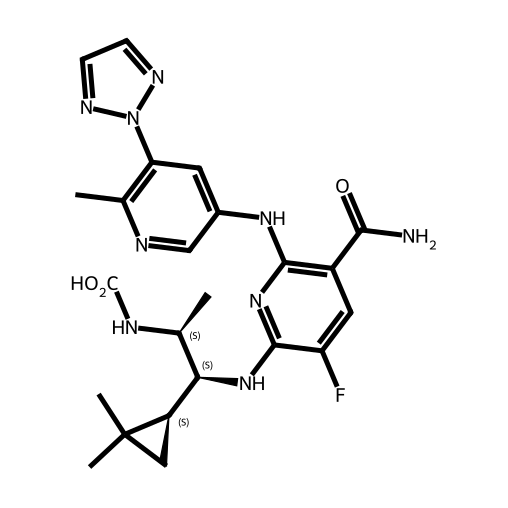 Cc1ncc(Nc2nc(N[C@H]([C@H](C)NC(=O)O)[C@H]3CC3(C)C)c(F)cc2C(N)=O)cc1-n1nccn1